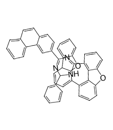 C1=CC2c3ccccc3OC2C(c2cccc3oc4cccc(C5=NC(c6ccc7ccc8ccccc8c7c6)=NC(c6ccccc6)N5)c4c23)=C1